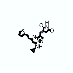 O=C1C/C(=C\c2cnn3c(NC4CC4)cc(CCc4cccs4)nc23)C(=O)N1